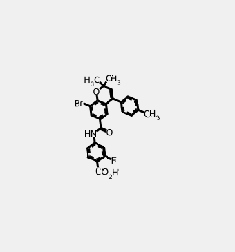 Cc1ccc(C2=CC(C)(C)Oc3c(Br)cc(C(=O)Nc4ccc(C(=O)O)c(F)c4)cc32)cc1